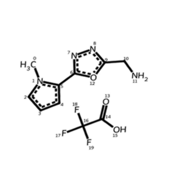 Cn1cccc1-c1nnc(CN)o1.O=C(O)C(F)(F)F